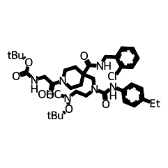 CCc1ccc(NC(=O)N(CCN(C=O)OC(C)(C)C)CC2(C(=O)NCc3ccccc3Cl)CCN(C(=O)CNC(=O)OC(C)(C)C)CC2)cc1